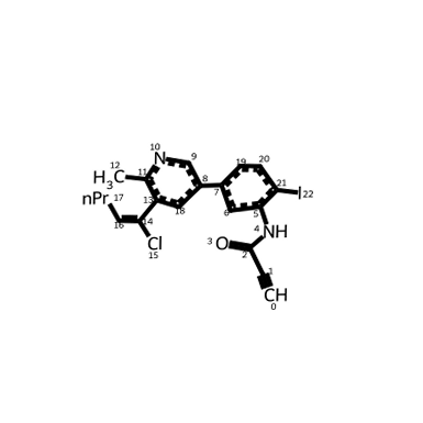 C#CC(=O)Nc1cc(-c2cnc(C)c(/C(Cl)=C\CCC)c2)ccc1I